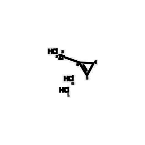 Cl.Cl.Cl.[Zr][C]1=CC1